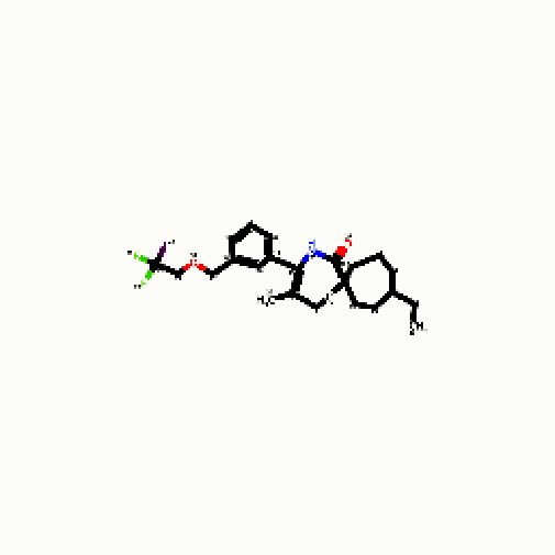 CCC1CCCC2(CCC(C)=C(c3cccc(COCC(F)(F)I)c3)NC2=O)CC1